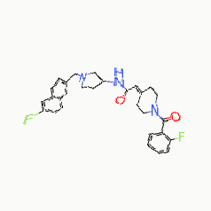 O=C(C=C1CCN(C(=O)c2ccccc2F)CC1)NC1CCN(Cc2ccc3cc(F)ccc3c2)C1